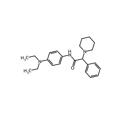 CCN(CC)c1ccc(NC(=O)C(c2ccccc2)N2CCCCC2)cc1